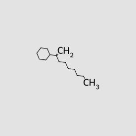 C=C(CCCCCCC)C1CCCCC1